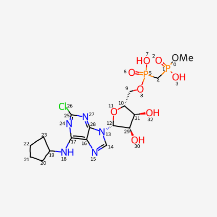 COP(=O)(O)CP(=O)(O)OC[C@H]1O[C@@H](n2cnc3c(NC4CCCC4)nc(Cl)nc32)[C@H](O)[C@@H]1O